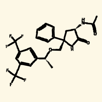 CC(=O)N[C@H]1C[C@@](CO[C@H](C)c2cc(C(F)(F)F)cc(C(F)(F)F)c2)(c2ccccc2)NC1=O